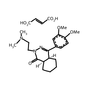 COc1ccc(C2=NN(CCN(C)C)C(=O)[C@@H]3CCCC[C@H]23)cc1OC.O=C(O)/C=C/C(=O)O